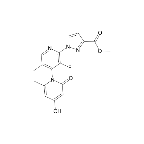 COC(=O)c1ccn(-c2ncc(C)c(-n3c(C)cc(O)cc3=O)c2F)n1